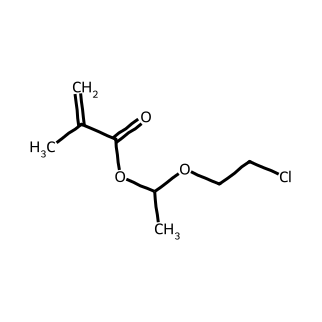 C=C(C)C(=O)OC(C)OCCCl